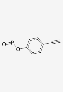 C#Cc1ccc(OP=O)cc1